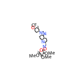 CO[C@@H]1[C@@H](OC)[C@H](C)O[C@@H](ON=Cc2ccc3c(ccc4c3ncn4-c3ccc(OC(F)(F)F)cc3)n2)[C@@H]1OC